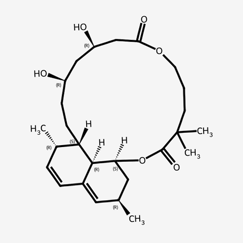 C[C@H]1C=C2C=C[C@H](C)[C@@H]3CC[C@@H](O)C[C@@H](O)CC(=O)OCCCC(C)(C)C(=O)O[C@@H](C1)[C@@H]23